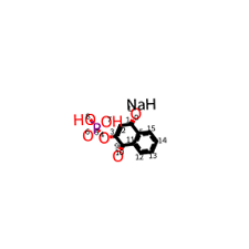 O=C1C=C(OP(=O)(O)O)C(=O)c2ccccc21.[NaH]